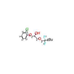 CC(C)(C)C(F)(F)COCC(O)COc1ccccc1Cl